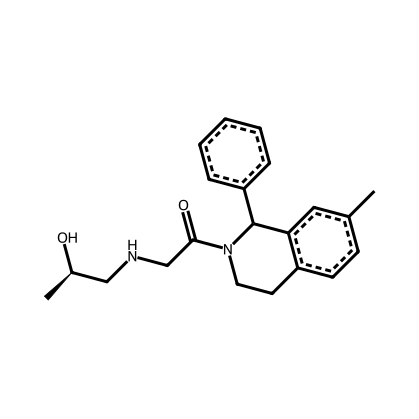 Cc1ccc2c(c1)C(c1ccccc1)N(C(=O)CNC[C@@H](C)O)CC2